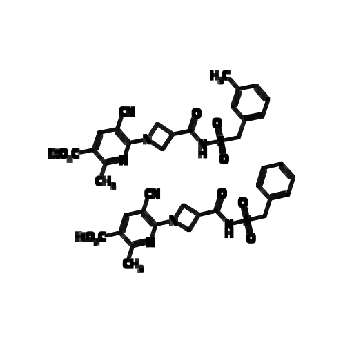 CCOC(=O)c1cc(C#N)c(N2CC(C(=O)NS(=O)(=O)Cc3cccc(C)c3)C2)nc1C.CCOC(=O)c1cc(C#N)c(N2CC(C(=O)NS(=O)(=O)Cc3ccccc3)C2)nc1C